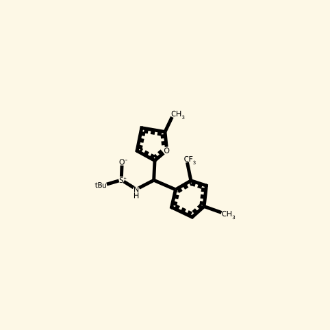 Cc1ccc(C(N[S+]([O-])C(C)(C)C)c2ccc(C)o2)c(C(F)(F)F)c1